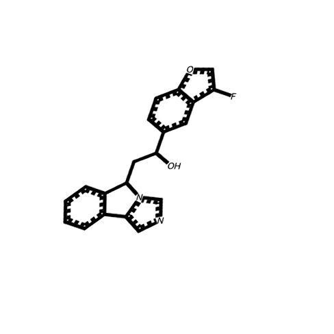 OC(CC1c2ccccc2-c2cncn21)c1ccc2occ(F)c2c1